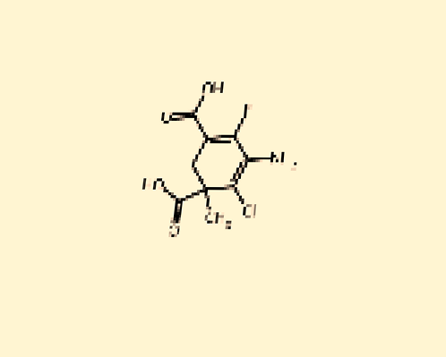 CC1(C(=O)O)CC(C(=O)O)=C(F)C(N)=C1Cl